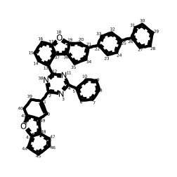 C1=C(c2nc(-c3ccccc3)nc(-c3cccc4oc5cc(-c6ccc(-c7ccccc7)cc6)ccc5c34)n2)CCc2oc3ccccc3c21